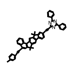 Cc1ccc(C#Cc2cc3c(c4ccccc24)-c2cc4c(cc2C3(C)C)-c2ccc(C#Cc3nc(-c5ccccc5)nc(-c5ccccc5)n3)cc2C4(C)C)cc1